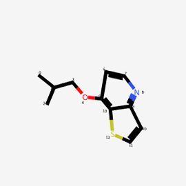 CC(C)COc1ccnc2ccsc12